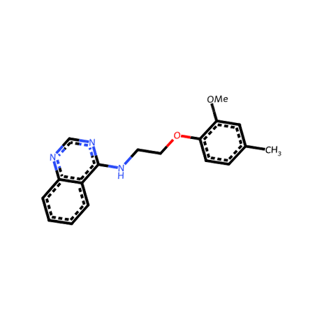 COc1cc(C)ccc1OCCNc1ncnc2ccccc12